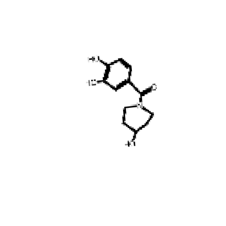 O=C(c1ccc(O)c(O)c1)N1CCC(O)CC1